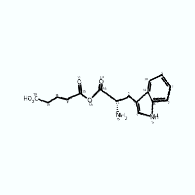 N[C@@H](Cc1c[nH]c2ccccc12)C(=O)OC(=O)CCCC(=O)O